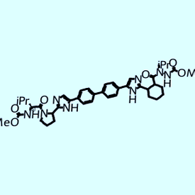 COC(=O)N[C@H](C(=O)N1CCCC1c1ncc(-c2ccc(-c3ccc(-c4cnc(C5CCCCC5C(=O)N(NC(=O)OC)C(C)C)[nH]4)cc3)cc2)[nH]1)C(C)C